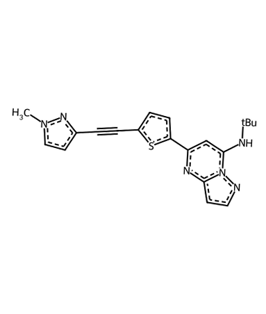 Cn1ccc(C#Cc2ccc(-c3cc(NC(C)(C)C)n4nccc4n3)s2)n1